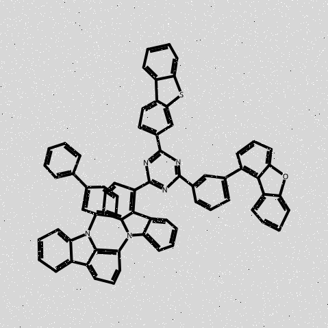 c1ccc(-c2cccc(-n3c4ccccc4c4cccc(-n5c6ccccc6c6c(-c7nc(-c8cccc(-c9cccc%10oc%11ccccc%11c9%10)c8)nc(-c8ccc9c(c8)sc8ccccc89)n7)cccc65)c43)c2)cc1